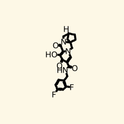 O=C(NCc1ccc(F)cc1F)c1cn2c(c(O)c1=O)C(=O)N1C[C@@H]3CCC1(C3)C2